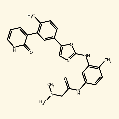 Cc1ccc(NC(=O)CN(C)C)cc1Nc1ncc(-c2ccc(C)c(-c3ccc[nH]c3=O)c2)o1